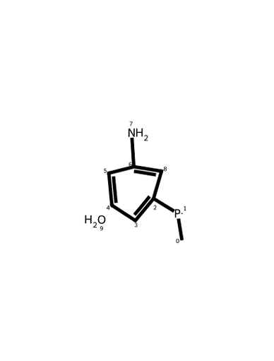 C[P]c1cccc(N)c1.O